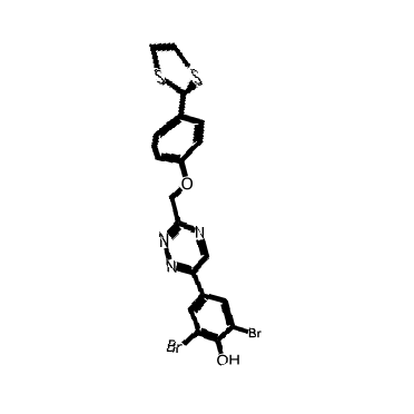 Oc1c(Br)cc(-c2cnc(COc3ccc(C4SCCS4)cc3)nn2)cc1Br